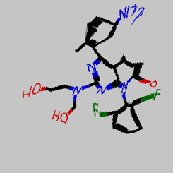 Cc1ccc(N)cc1-c1nc(N(CO)CCO)nc2c1ccc(=O)n2-c1c(F)cccc1F